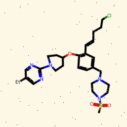 CCc1cnc(N2CCC(Oc3ccc(CN4CCN(S(C)(=O)=O)CC4)cc3C=CCCCCl)CC2)nc1